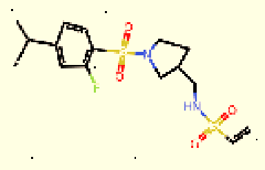 C=CS(=O)(=O)NCC1CCN(S(=O)(=O)c2ccc(C(C)C)cc2F)C1